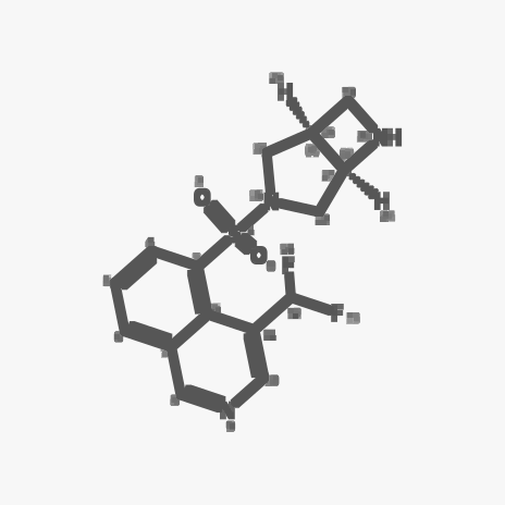 O=S(=O)(c1cccc2cncc(C(F)F)c12)N1C[C@H]2CN[C@H]2C1